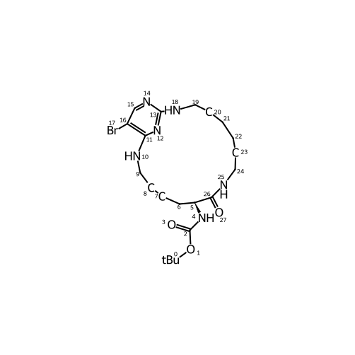 CC(C)(C)OC(=O)N[C@H]1CCCCNc2nc(ncc2Br)NCCCCCCNC1=O